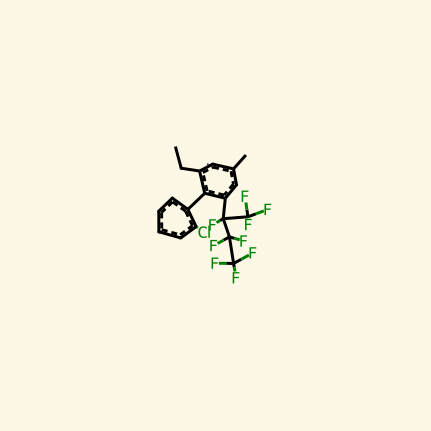 CCc1[c]c(C)cc(C(F)(C(F)(F)F)C(F)(F)C(F)(F)F)c1-c1ccccc1Cl